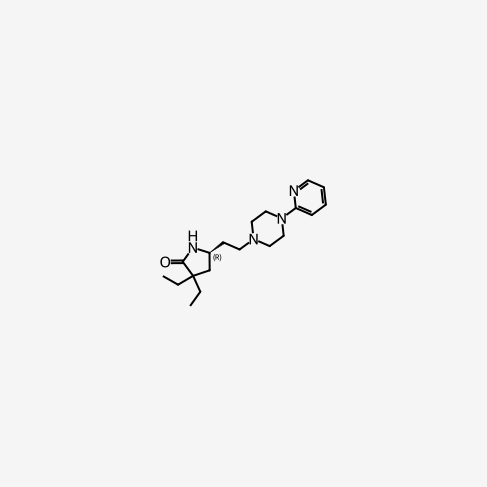 CCC1(CC)C[C@H](CCN2CCN(c3ccccn3)CC2)NC1=O